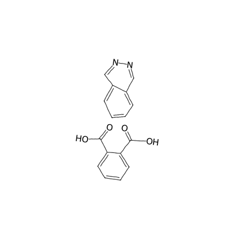 O=C(O)c1ccccc1C(=O)O.c1ccc2cnncc2c1